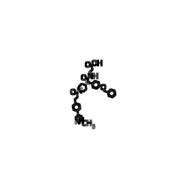 Cn1cc(-c2ccc(CCC(=O)N3CCC([C@H](C(=O)NCCC(=O)O)c4ccc(OCc5ccccc5)cc4)CC3)cc2)cn1